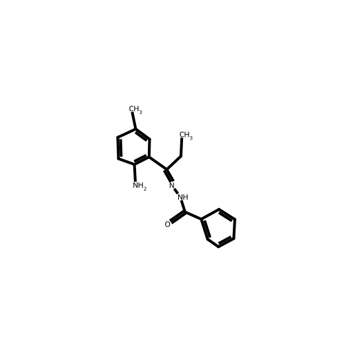 CC/C(=N\NC(=O)c1ccccc1)c1cc(C)ccc1N